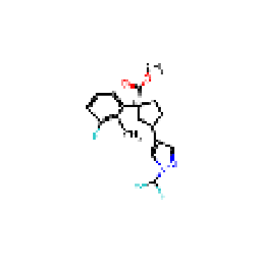 COC(=O)[C@@]1(c2cccc(F)c2C)CCC(c2cnn(C(F)F)c2)C1